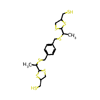 CC(SCc1ccc(CSC(C)C2SCC(CS)S2)cc1)C1SCC(CS)S1